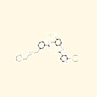 Cc1ccc(NC(=O)c2ccnc(N3CCOCC3)c2)cc1NC(=O)c1cccc(CNCCCN2CCCC2)c1